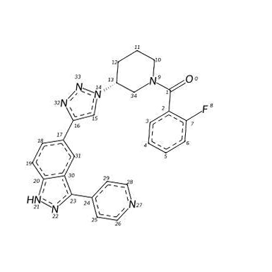 O=C(c1ccccc1F)N1CCC[C@@H](n2cc(-c3ccc4[nH]nc(-c5ccncc5)c4c3)nn2)C1